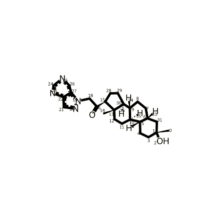 C[C@@]1(O)CC[C@H]2[C@H](CC[C@@H]3[C@@H]2CC[C@]2(C)[C@@H](C(=O)Cn4ncc5ncncc54)CC[C@@H]32)C1